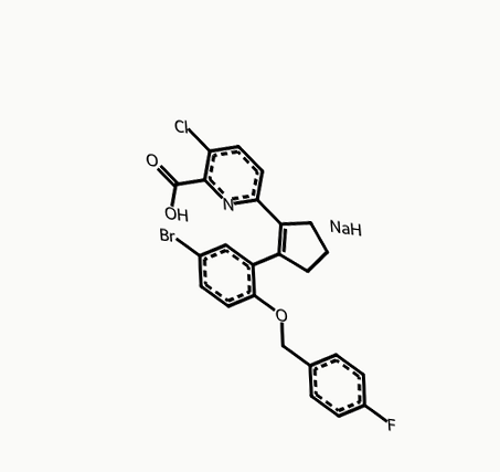 O=C(O)c1nc(C2=C(c3cc(Br)ccc3OCc3ccc(F)cc3)CCC2)ccc1Cl.[NaH]